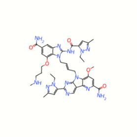 CCn1nc(C)cc1C(=O)Nc1nc2cc(C(N)=O)cc(OCCCNC)c2n1C/C=C/Cn1c2nc(-c3cc(C)nn3CC)ncc2c2nc(C(N)=O)cc(OC)c21